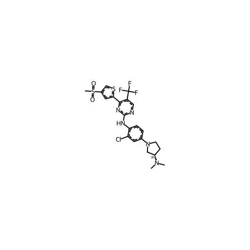 CN(C)[C@@H]1CCN(c2ccc(Nc3ncc(C(F)(F)F)c(-c4cc(S(C)(=O)=O)cs4)n3)c(Cl)c2)C1